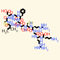 CC[C@H](C)[C@H](N)C(=O)N[C@@H](CS)C(=O)N[C@@H](CC(=O)O)C(=O)NCC(=O)N[C@@H](Cc1ccccc1)C(=O)N[C@@H](CO)C(=O)N[C@@H](CO)C(=O)N[C@@H](CS)C(=O)N[C@@H](CCCNC(=N)N)C(=O)NCC(=O)N[C@@H](CCCNC(=N)N)C(=O)N[C@@H](CCCCN)C(=O)O